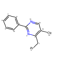 CC(C)Cc1nc(-c2ccccc2)ncc1C#N